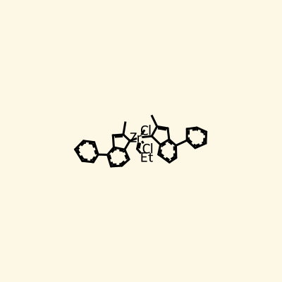 CC[CH]=[Zr]([Cl])([Cl])([CH]1C(C)=Cc2c(-c3ccccc3)cccc21)[CH]1C(C)=Cc2c(-c3ccccc3)cccc21